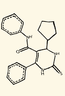 O=C(Nc1ccccc1)C1=C(c2ccccc2)NC(=S)NC1C1CCCC1